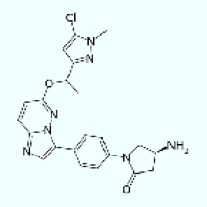 CC(Oc1ccc2ncc(-c3ccc(N4C[C@@H](N)CC4=O)cc3)n2n1)c1cc(Cl)n(C)n1